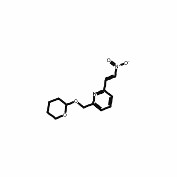 O=[N+]([O-])C=Cc1cccc(COC2CCCCO2)n1